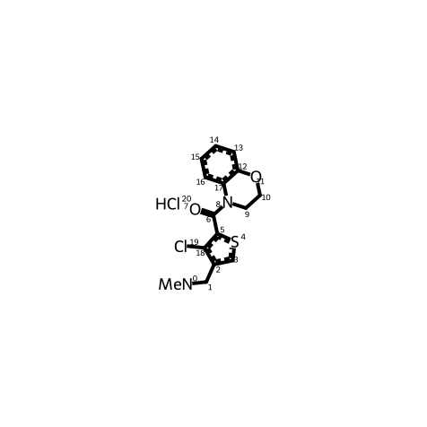 CNCc1csc(C(=O)N2CCOc3ccccc32)c1Cl.Cl